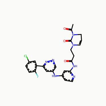 CC(=O)N1CC=CN(CCC(=O)Nc2cc(Nc3cnnc(-c4cc(Cl)ccc4F)c3)ccn2)C1=O